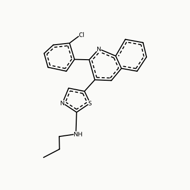 CCCNc1ncc(-c2cc3ccccc3nc2-c2ccccc2Cl)s1